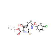 CCOC(=O)c1nc(Br)c2nc(Oc3cccc(Cl)c3)ccc2c1O